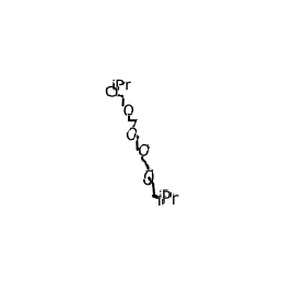 CC(C)CCOCCOCCOCCOCCOC(C)C